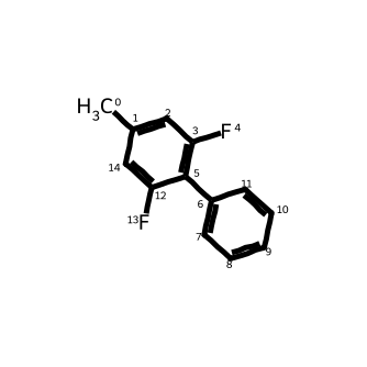 Cc1cc(F)c(-c2ccccc2)c(F)c1